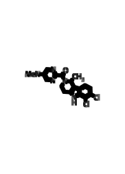 CNc1cnc(C(=O)N2CCc3[nH]c4c(Cl)c(Cl)ccc4c3C2C)nc1